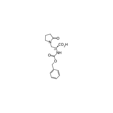 O=C(N[C@@H](CN1CCCC1=O)C(=O)O)OCc1ccccc1